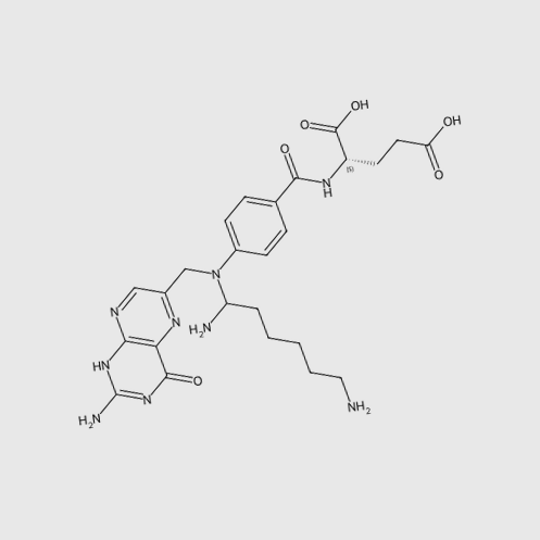 NCCCCCC(N)N(Cc1cnc2[nH]c(N)nc(=O)c2n1)c1ccc(C(=O)N[C@@H](CCC(=O)O)C(=O)O)cc1